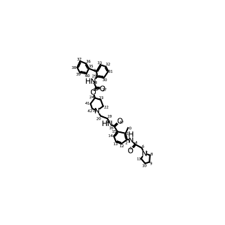 Cc1c(NC(=O)CN2CCCC2)cccc1C(=O)NCCN1CCC(OC(=O)Nc2ccccc2-c2ccccc2)CC1